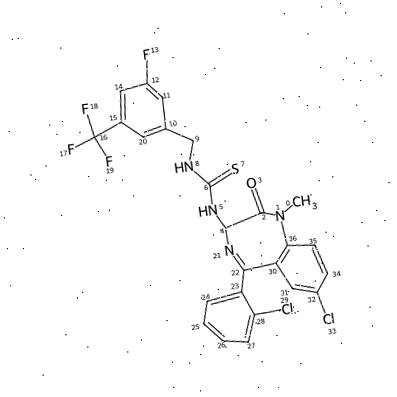 CN1C(=O)C(NC(=S)NCc2cc(F)cc(C(F)(F)F)c2)N=C(c2ccccc2Cl)c2cc(Cl)ccc21